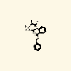 CC(C)COC(C(=O)O)N(C(=O)[C@H](C)N)c1ccccc1C(=O)OCc1ccccc1